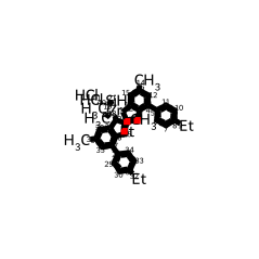 CCC1=Cc2c(-c3ccc(CC)cc3)cc(C)cc2[CH]1[Zr]([CH3])([CH3])(=[SiH2])[CH]1C(C)=Cc2c(-c3ccc(CC)cc3)cc(C)cc21.Cl.Cl